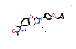 CC(=O)NC(C)c1ccc(O[C@H]2CN(c3ccc(OCC4CC4)cc3)CC2C)cc1